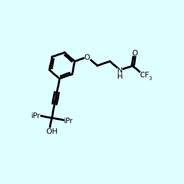 CC(C)C(O)(C#Cc1cccc(OCCNC(=O)C(F)(F)F)c1)C(C)C